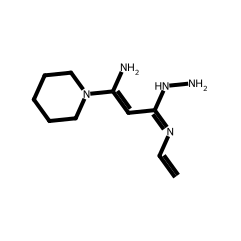 C=C/N=C(\C=C(/N)N1CCCCC1)NN